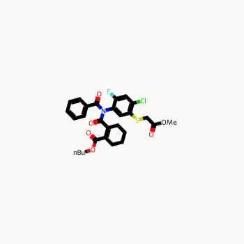 CCCCOC(=O)C1=C(C(=O)N(C(=O)c2ccccc2)c2cc(SCC(=O)OC)c(Cl)cc2F)CCCC1